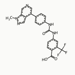 Cn1ncc2c(-c3ccc(NC(=O)Nc4ccc(C(=O)O)c(C(F)(F)F)c4)cc3)cncc21